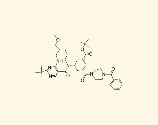 COCCCNc1nc(C(C)(C)C)ncc1C(=O)N(CC(C)C)[C@H]1C[C@@H](C(=O)N2CCN(C(=O)c3ccccc3)CC2)CN(C(=O)OC(C)(C)C)C1